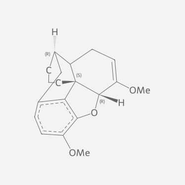 COC1=CCC2[C@@H]3CCC[C@@]24c2c(ccc(OC)c2O[C@@H]14)C3